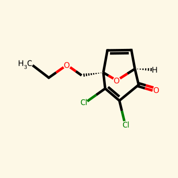 CCOC[C@]12C=C[C@H](O1)C(=O)C(Cl)=C2Cl